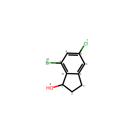 OC1CCc2cc(Cl)cc(Br)c21